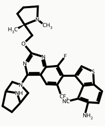 CN1CCC[C@@]1(C)COc1nc(N2CC3CCC(C2)N3)c2cc(C(F)(F)F)c(-c3csc4ccc(N)c(C#N)c34)c(F)c2n1